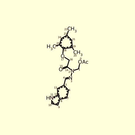 CC(=O)OCN(/N=C/c1ccc2cc[nH]c2c1)C(=O)COc1c(C)cc(C)cc1C